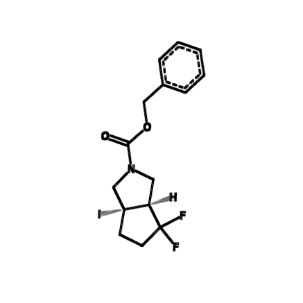 O=C(OCc1ccccc1)N1C[C@H]2C(F)(F)CC[C@@]2(I)C1